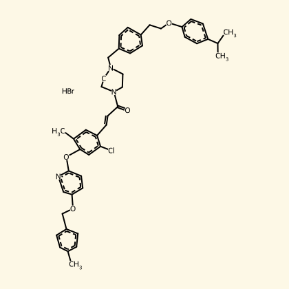 Br.Cc1ccc(COc2ccc(Oc3cc(Cl)c(C=CC(=O)N4CCN(Cc5ccc(CCOc6ccc(C(C)C)cc6)cc5)CC4)cc3C)nc2)cc1